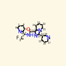 O=C(NC(c1ccccn1)C(F)(F)F)c1nc(-c2cccnc2)n2ccccc12